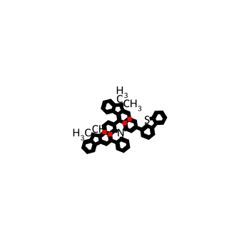 CC1(C)c2ccccc2-c2cc(-c3ccccc3N(c3cccc(-c4cccc5c4sc4ccccc45)c3)c3ccccc3-c3cccc4c3-c3ccccc3C4(C)C)ccc21